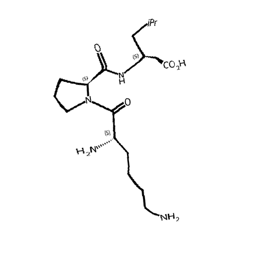 CC(C)C[C@H](NC(=O)[C@@H]1CCCN1C(=O)[C@@H](N)CCCCN)C(=O)O